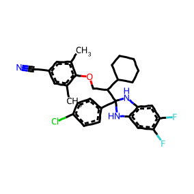 Cc1cc(C#N)cc(C)c1OCC(C1CCCCC1)C1(c2ccc(Cl)cc2)Nc2cc(F)c(F)cc2N1